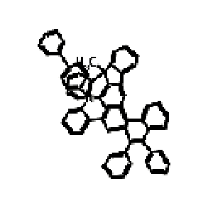 CC1(c2ccccc2)c2ccccc2-c2cccc(N(c3ccc(-c4ccccc4)cc3)c3ccccc3-c3ccc4c(c3)c(-c3ccccc3)c(-c3ccccc3)c3ccccc34)c21